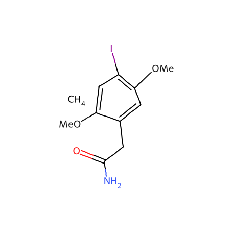 C.COc1cc(CC(N)=O)c(OC)cc1I